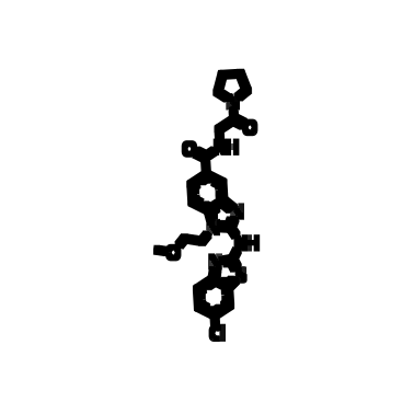 COCCn1c(Nc2nc3ccc(Cl)cc3s2)nc2cc(C(=O)NCC(=O)N3CCCC3)ccc21